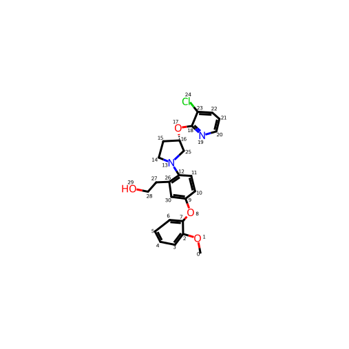 COc1ccccc1Oc1ccc(N2CC[C@H](Oc3ncccc3Cl)C2)c(CCO)c1